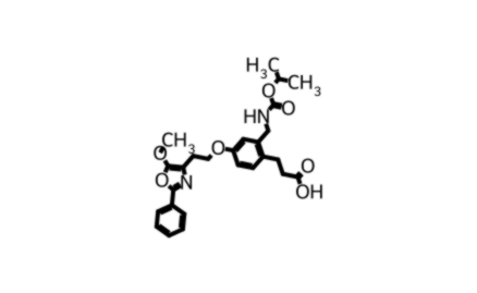 COc1oc(-c2ccccc2)nc1CCOc1ccc(CCC(=O)O)c(CNC(=O)OC(C)C)c1